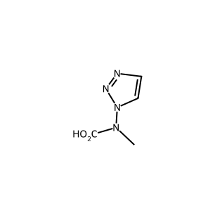 CN(C(=O)O)n1ccnn1